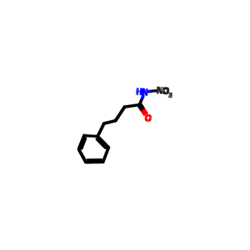 O=C(CCCc1ccccc1)N[N+](=O)[O-]